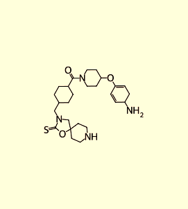 NC1C=CC(OC2CCN(C(=O)C3CCC(CN4CC5(CCNCC5)OC4=S)CC3)CC2)=CC1